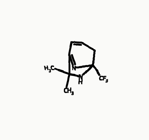 CC1(C)NC2(C(F)(F)F)CC=CC1=N2